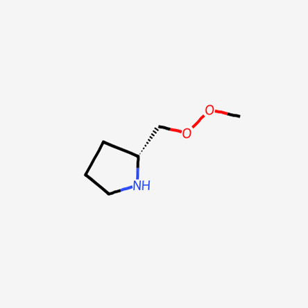 COOC[C@H]1CCCN1